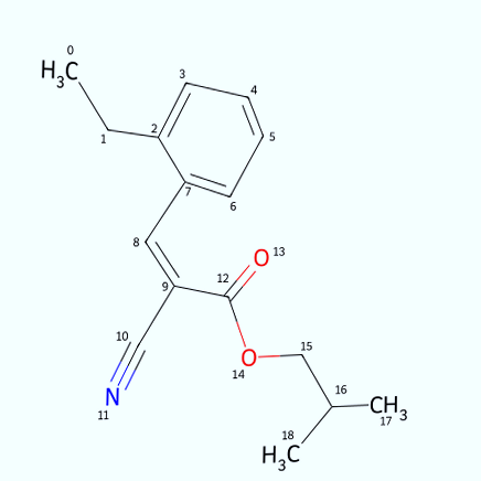 CCc1ccccc1C=C(C#N)C(=O)OCC(C)C